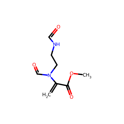 C=C(C(=O)OC)N(C=O)CCNC=O